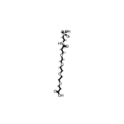 O=C(O)CCOCCOCCOCCOCCC(=O)NCCS(=O)(=O)O